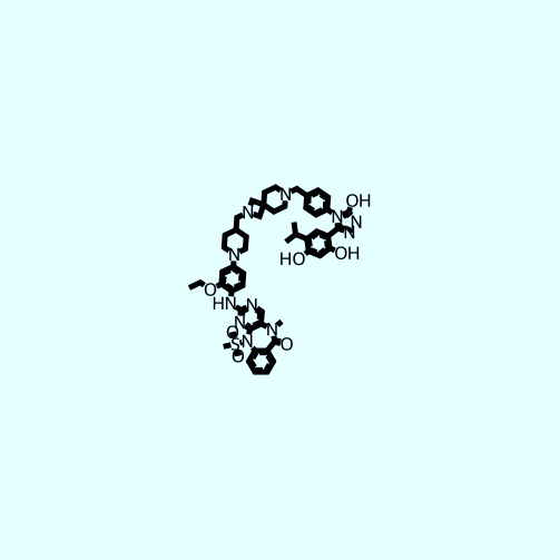 CCOc1cc(N2CCC(CN3CC4(CCN(Cc5ccc(-n6c(O)nnc6-c6cc(C(C)C)c(O)cc6O)cc5)CC4)C3)CC2)ccc1Nc1ncc2c(n1)N(S(C)(=O)=O)c1ccccc1C(=O)N2C